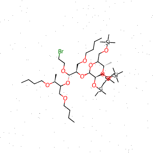 CCCCOCC(O[C@H](OCCBr)[C@@H](COCCCC)O[C@@H](OC(CO[Si](C)(C)C)[C@H](C)O[Si](C)(C)C)[C@@H](CO[Si](C)(C)C)O[Si](C)(C)C)[C@H](C)OCCCC